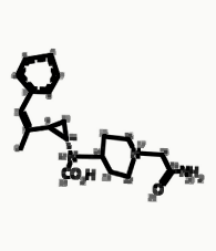 CC(=Cc1ccccc1)C1C[C@@H]1N(C(=O)O)C1CCN(CC(N)=O)CC1